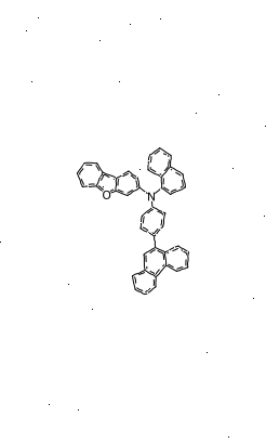 c1ccc2c(N(c3ccc(-c4cc5ccccc5c5ccccc45)cc3)c3ccc4c(c3)oc3ccccc34)cccc2c1